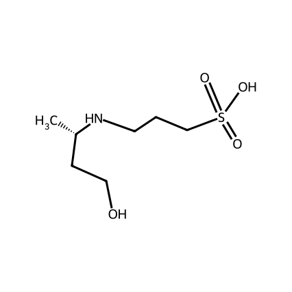 C[C@@H](CCO)NCCCS(=O)(=O)O